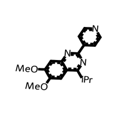 COc1cc2nc(-c3ccncc3)nc(C(C)C)c2cc1OC